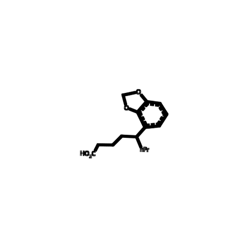 CCCC(CCCC(=O)O)c1cccc2c1OCO2